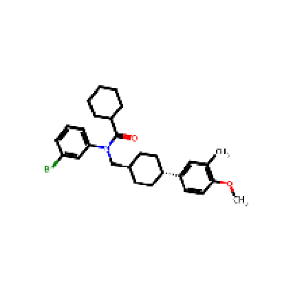 COc1ccc([C@H]2CC[C@H](CN(C(=O)C3CCCCC3)c3cccc(Br)c3)CC2)cc1C